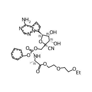 CCOCCOCCOC(=O)[C@H](C)NP(=O)(OC[C@@]1(C#N)O[C@@H](c2ccc3c(N)ncnn23)[C@H](O)[C@@H]1O)Oc1ccccc1